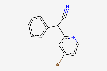 N#CC(c1ccccc1)c1cc(Br)ccn1